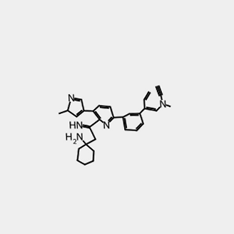 C#CN(C)/C=C(\C=C)c1cccc(-c2ccc(C3=CC(C)N=C3)c(C(=N)CC3(N)CCCCC3)n2)c1